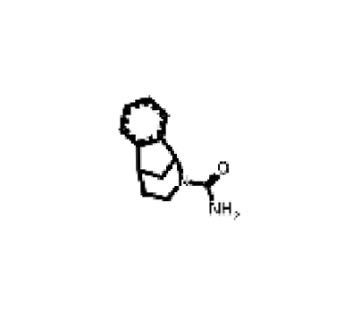 NC(=O)N1CCC2CC1c1ccccc12